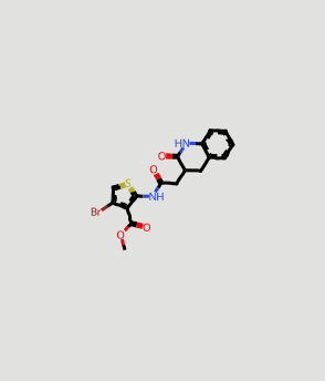 COC(=O)c1c(Br)csc1NC(=O)CC1Cc2ccccc2NC1=O